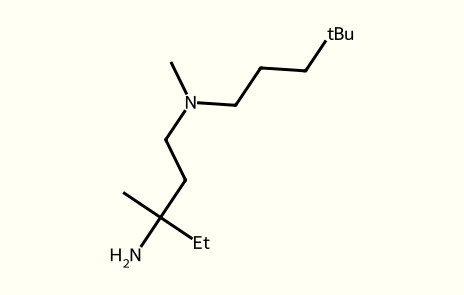 CCC(C)(N)CCN(C)CCCC(C)(C)C